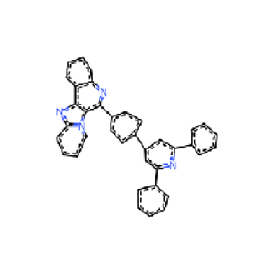 c1ccc(-c2cc(-c3ccc(-c4nc5ccccc5c5nc6ccccn6c45)cc3)cc(-c3ccccc3)n2)cc1